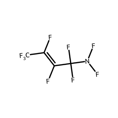 FC(=C(F)C(F)(F)N(F)F)C(F)(F)F